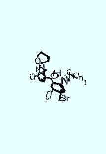 CN(C)/C=N/c1cc(Br)c(Cl)cc1C(=O)c1ccc(Cl)c2nn(C3CCCCO3)cc12